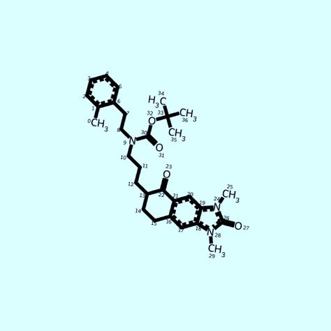 Cc1ccccc1CCN(CCCC1CCc2cc3c(cc2C1=O)n(C)c(=O)n3C)C(=O)OC(C)(C)C